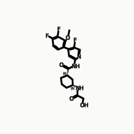 COc1c(-c2cc(NC(=O)[C@H]3CCC[C@@H](NC(=O)CO)C3)ncc2F)ccc(F)c1F